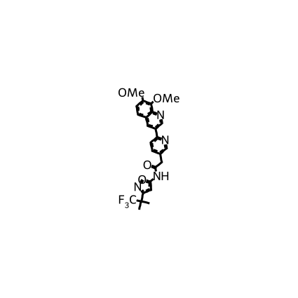 COc1ccc2cc(-c3ccc(CC(=O)Nc4cc(C(C)(C)C(F)(F)F)no4)cn3)cnc2c1OC